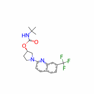 CC(C)(C)NC(=O)O[C@@H]1CCN(c2ccc3ccc(C(F)(F)F)cc3n2)C1